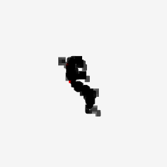 CCCc1ccc(S(=O)(=O)Nc2ccc(-c3ccc(CCCc4nn(Cc5ccc(C(C)(C)C)cc5)c(=O)n4CC)cc3)nc2)cc1